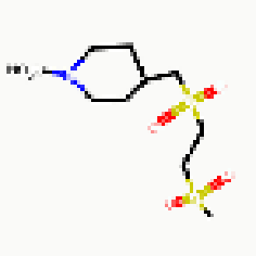 CS(=O)(=O)CCS(=O)(=O)CC1CCN(C(=O)O)CC1